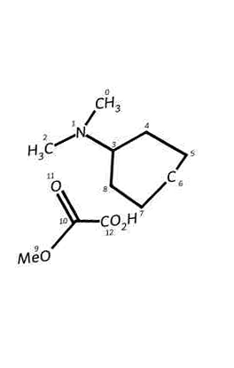 CN(C)C1CCCCC1.COC(=O)C(=O)O